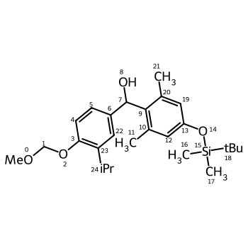 COCOc1ccc(C(O)c2c(C)cc(O[Si](C)(C)C(C)(C)C)cc2C)cc1C(C)C